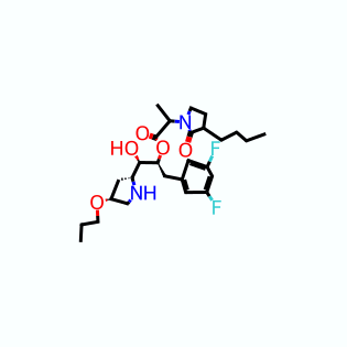 CCCCC1CCN(C(C)C(=O)O[C@@H](Cc2cc(F)cc(F)c2)[C@H](O)[C@H]2C[C@@H](OCCC)CN2)C1=O